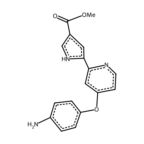 COC(=O)c1c[nH]c(-c2cc(Oc3ccc(N)cc3)ccn2)c1